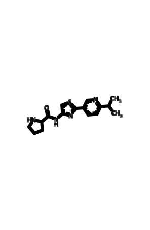 CC(C)c1ccc(-c2nc(NC(=O)C3CCCN3)cs2)cn1